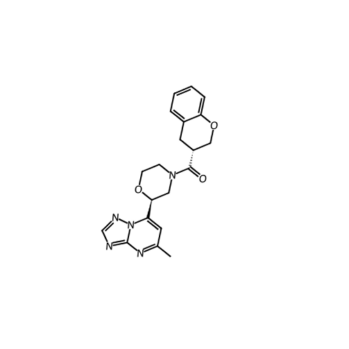 Cc1cc([C@@H]2CN(C(=O)[C@H]3COc4ccccc4C3)CCO2)n2ncnc2n1